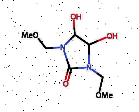 COCN1C(=O)N(COC)C(O)C1O